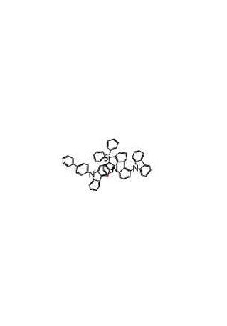 c1ccc(-c2ccc(-n3c4ccccc4c4cc(-n5c6cccc(-n7c8ccccc8c8ccccc87)c6c6cccc([Si](c7ccccc7)(c7ccccc7)c7ccccc7)c65)ccc43)cc2)cc1